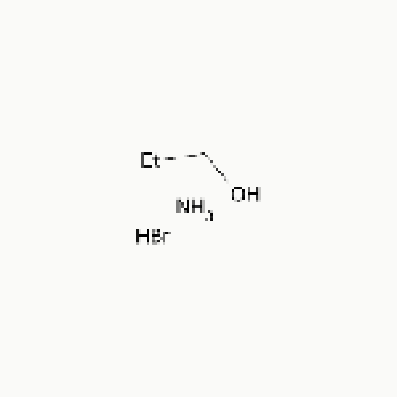 Br.CCCO.N